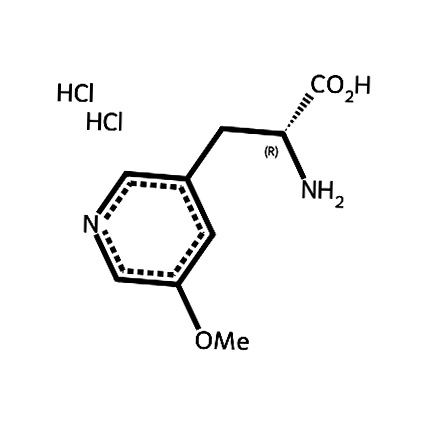 COc1cncc(C[C@@H](N)C(=O)O)c1.Cl.Cl